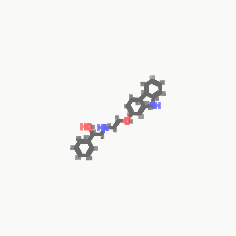 OC(CNCCOc1ccc2c(c1)[nH]c1ccccc12)c1ccccc1